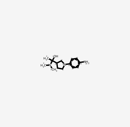 CN(C)C(C)(O)C1CCN(c2ccc(N)cc2)C1